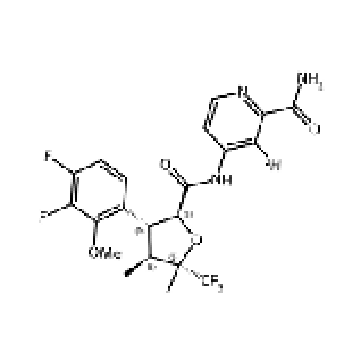 [2H]c1c(NC(=O)[C@H]2O[C@](C)(C(F)(F)F)[C@@H](C)[C@@H]2c2ccc(F)c(F)c2OC)ccnc1C(N)=O